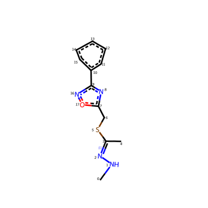 CN/N=C(\C)SCc1nc(-c2ccccc2)no1